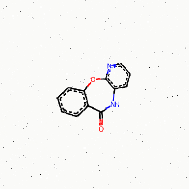 O=C1Nc2cccnc2Oc2ccccc21